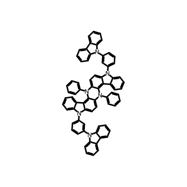 c1ccc(N2c3ccc4c(c3N(c3ccccc3)c3ccc5c(c32)c2ccccc2n5-c2cccc(-n3c5ccccc5c5ccccc53)c2)c2ccccc2n4-c2cccc(-n3c4ccccc4c4ccccc43)c2)cc1